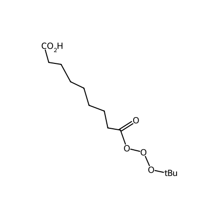 CC(C)(C)OOOC(=O)CCCCCCCC(=O)O